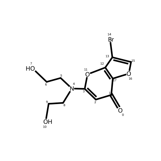 O=c1cc(N(CCO)CCO)oc2c(Br)coc12